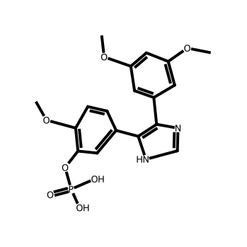 COc1cc(OC)cc(-c2nc[nH]c2-c2ccc(OC)c(OP(=O)(O)O)c2)c1